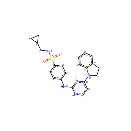 O=S(=O)(NCC1CC1)c1ccc(Nc2nccc(N3CCc4ccccc43)n2)cc1